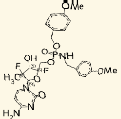 COc1ccc(CNP(=O)(OCc2ccc(OC)cc2)OC[C@@]2(F)O[C@@H](n3ccc(N)nc3=O)[C@](C)(F)[C@@H]2O)cc1